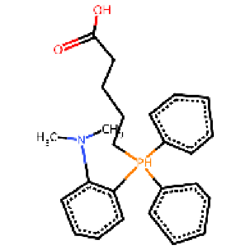 CN(C)c1ccccc1[PH](CCCCC(=O)O)(c1ccccc1)c1ccccc1